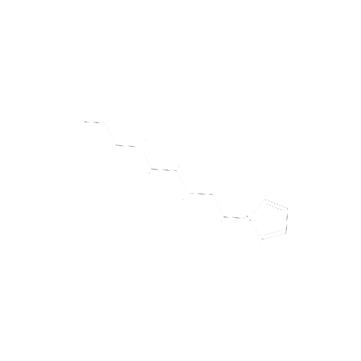 OCCOCCOCCn1cccc1